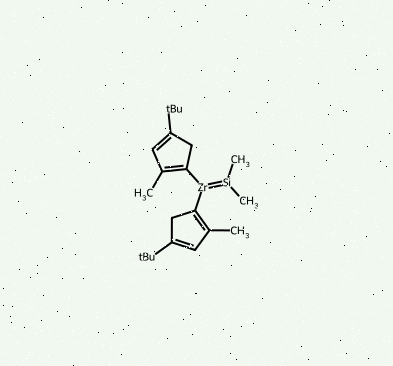 CC1=[C]([Zr]([C]2=C(C)C=C(C(C)(C)C)C2)=[Si](C)C)CC(C(C)(C)C)=C1